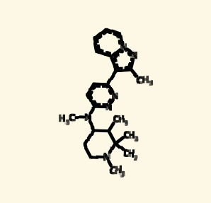 Cc1nn2ccccc2c1-c1ccc(N(C)C2CCN(C)C(C)(C)C2C)nn1